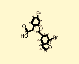 O=C(O)Cc1ccc(F)cc1OCc1cc(Br)c2occc2c1